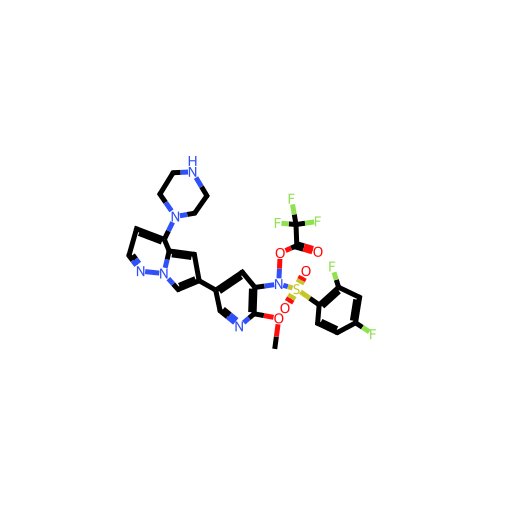 COc1ncc(-c2cc3c(N4CCNCC4)ccnn3c2)cc1N(OC(=O)C(F)(F)F)S(=O)(=O)c1ccc(F)cc1F